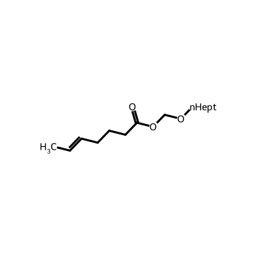 CC=CCCCC(=O)OCOCCCCCCC